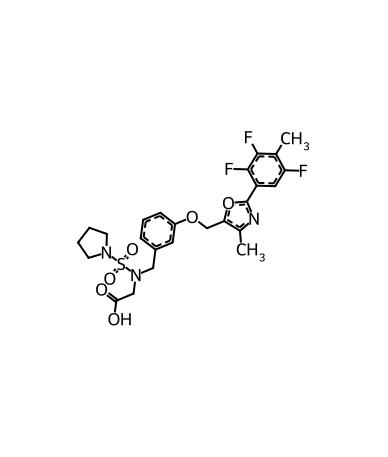 Cc1nc(-c2cc(F)c(C)c(F)c2F)oc1COc1cccc(CN(CC(=O)O)S(=O)(=O)N2CCCC2)c1